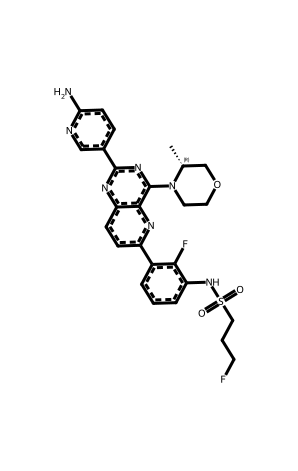 C[C@@H]1COCCN1c1nc(-c2ccc(N)nc2)nc2ccc(-c3cccc(NS(=O)(=O)CCCF)c3F)nc12